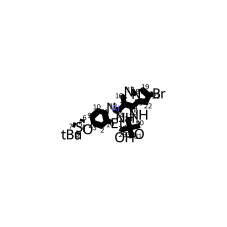 CCc1cc(O[Si](C)(C)C(C)(C)C)ccc1/N=C(\N)c1cnn2cc(Br)cc2c1NCC1(CO)COC1